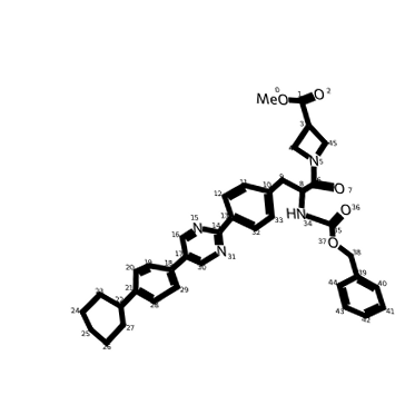 COC(=O)C1CN(C(=O)C(Cc2ccc(-c3ncc(-c4ccc(C5CCCCC5)cc4)cn3)cc2)NC(=O)OCc2ccccc2)C1